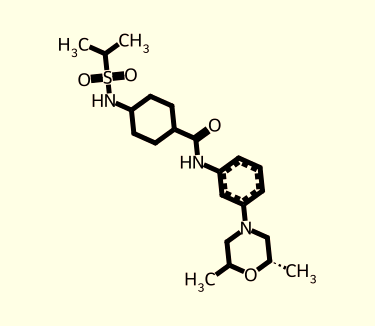 CC1CN(c2cccc(NC(=O)C3CCC(NS(=O)(=O)C(C)C)CC3)c2)C[C@H](C)O1